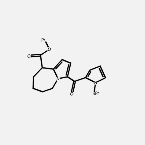 CCCn1cccc1C(=O)c1ccc2n1CCCCC2C(=O)OC(C)C